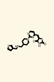 O=C1NC(=O)/C(=C\c2ccnc(N3CCC(CNCc4ccsc4)CC3)n2)S1